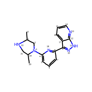 CC1CN(c2cccc(-c3n[nH]c4ncccc34)n2)C(C)CN1